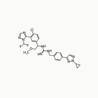 COCC(NC(=N)NCc1ccc(-c2cnn(C3CC3)n2)cc1)c1ccc(Cl)c(-c2ncnn2C(F)F)c1